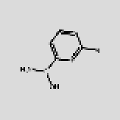 NB(O)c1cccc(I)c1